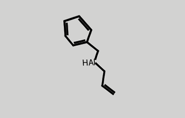 C=C[CH2][AlH][CH2]c1ccccc1